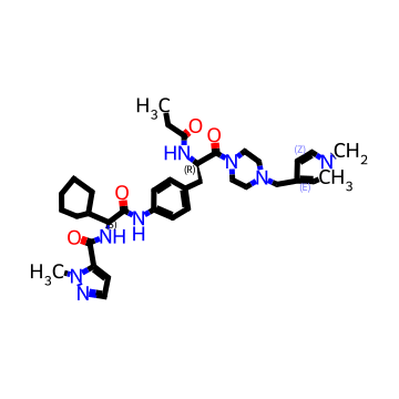 C=N/C=C\C(=C/C)CN1CCN(C(=O)[C@@H](Cc2ccc(NC(=O)[C@@H](NC(=O)c3ccnn3C)C3CCCCC3)cc2)NC(=O)CC)CC1